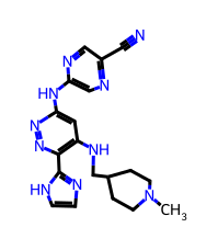 CN1CCC(CNc2cc(Nc3cnc(C#N)cn3)nnc2-c2ncc[nH]2)CC1